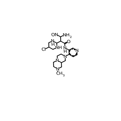 CN1CCN2CCN(c3ccncc3NC(=O)C(C(N)N=O)C3NCC(Cl)CN3)CC2C1